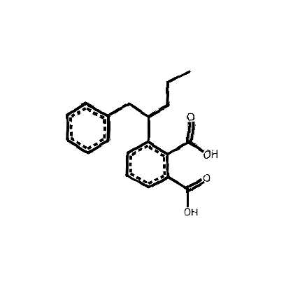 CCCC(Cc1ccccc1)c1cccc(C(=O)O)c1C(=O)O